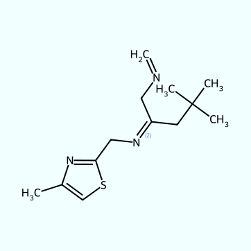 C=NC/C(CC(C)(C)C)=N\Cc1nc(C)cs1